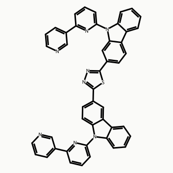 c1cncc(-c2cccc(-n3c4ccccc4c4cc(-c5nnc(-c6ccc7c8ccccc8n(-c8cccc(-c9cccnc9)n8)c7c6)s5)ccc43)n2)c1